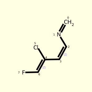 C=N/C=C\C(Cl)=C\F